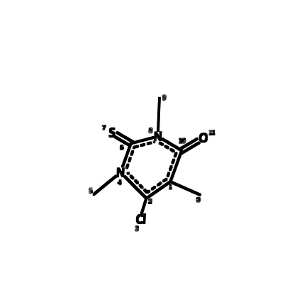 Cc1c(Cl)n(C)c(=S)n(C)c1=O